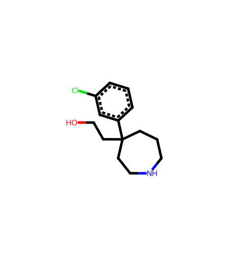 OCCC1(c2cccc(Cl)c2)CCCNCC1